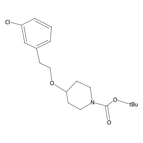 CC(C)(C)OC(=O)N1CCC(OCCc2cccc(Cl)c2)CC1